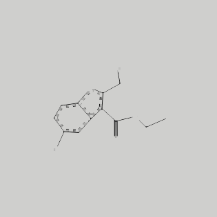 CCOC(=O)c1c(CBr)sc2ccc(Br)cc12